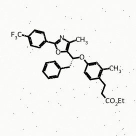 CCOC(=O)CCc1ccc(O[C@H](Cc2ccccc2)c2oc(-c3ccc(C(F)(F)F)cc3)nc2C)cc1C